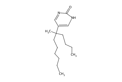 CCCCCCC(C)(CCCC)c1cnc(=O)[nH]c1